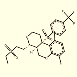 CCS(=O)(=O)CC[C@@H]1OCC[C@@]2(S(=O)(=O)c3ccc(C(F)(F)F)cc3)c3c(F)ccc(F)c3OC[C@@H]12